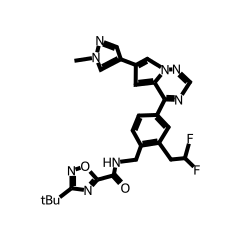 Cn1cc(-c2cc3c(-c4ccc(CNC(=O)c5nc(C(C)(C)C)no5)c(CC(F)F)c4)ncnn3c2)cn1